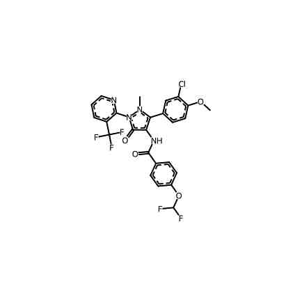 COc1ccc(-c2c(NC(=O)c3ccc(OC(F)F)cc3)c(=O)n(-c3ncccc3C(F)(F)F)n2C)cc1Cl